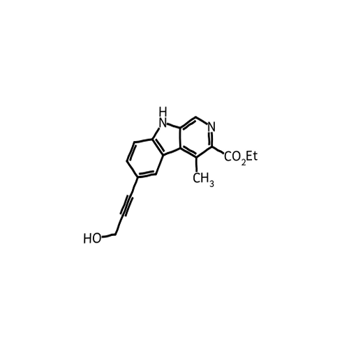 CCOC(=O)c1ncc2[nH]c3ccc(C#CCO)cc3c2c1C